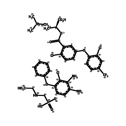 C[C@H](OC(=O)c1cc(Oc2ccc(C(F)(F)F)cc2Cl)ccc1Cl)C(=O)O.C[S+](C)C.Nc1c([N+](=O)[O-])ccc(Oc2ccccc2)c1Cl.O=C(O)CNCP(=O)([O-])O